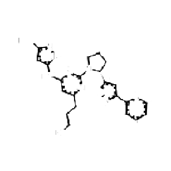 Cc1cc(Nc2cc(CCCO)nc(N3CCC[C@H]3c3cc(-c4ccccn4)no3)n2)n[nH]1